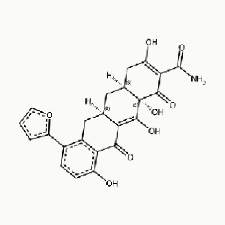 NC(=O)C1=C(O)C[C@@H]2C[C@@H]3Cc4c(-c5ccco5)ccc(O)c4C(=O)C3=C(O)[C@]2(O)C1=O